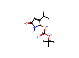 CC(C)C1=CC(=O)N(C)C1OC(=O)OC(C)(C)C